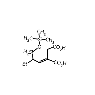 CCC(C=C(CC(=O)O)C(=O)O)[SiH2]O[Si](C)(C)C